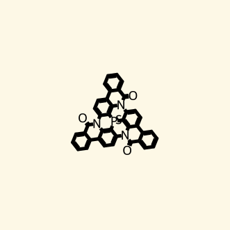 O=c1c2ccccc2c2ccc3c4c2n1-c1ccc2c5ccccc5c(=O)n5c2c1P4(=S)c1c-5ccc2c4ccccc4c(=O)n-3c12